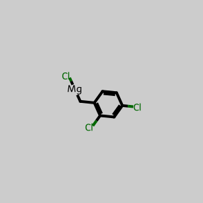 [Cl][Mg][CH2]c1ccc(Cl)cc1Cl